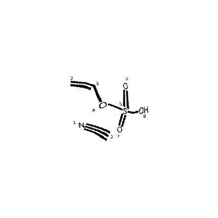 C#N.C=COS(=O)(=O)O